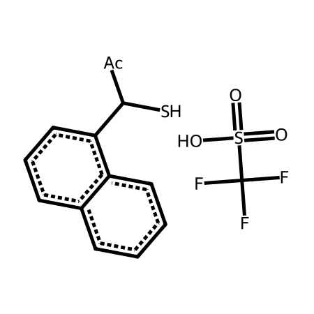 CC(=O)C(S)c1cccc2ccccc12.O=S(=O)(O)C(F)(F)F